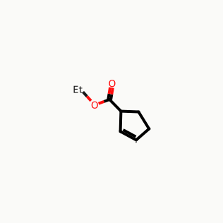 CCOC(=O)C1C=[C]CC1